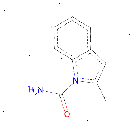 Cc1cc2cc[c]cc2n1C(N)=O